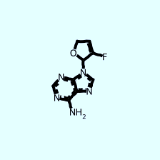 Nc1ncnc2c1ncn2C1OCC=C1F